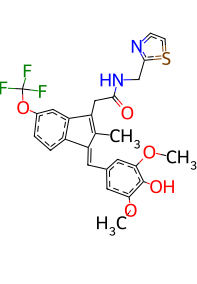 COc1cc(C=C2C(C)=C(CC(=O)NCc3nccs3)c3cc(OC(F)(F)F)ccc32)cc(OC)c1O